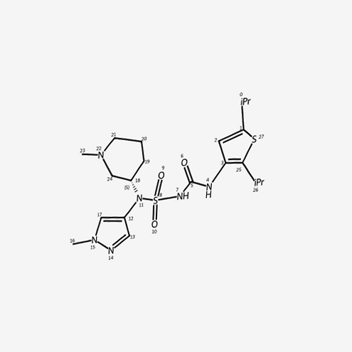 CC(C)c1cc(NC(=O)NS(=O)(=O)N(c2cnn(C)c2)[C@H]2CCCN(C)C2)c(C(C)C)s1